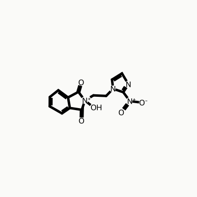 O=C1c2ccccc2C(=O)[N+]1(O)CCn1ccnc1[N+](=O)[O-]